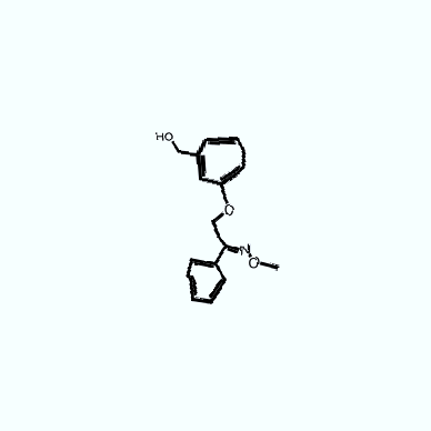 CON=C(COc1cccc(CO)c1)c1ccccc1